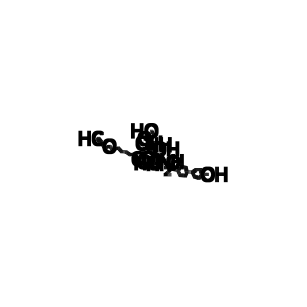 C#CCOCCCCCCO[C@]1(C(=O)O)C[C@H](O)[C@@H](NC(=O)CO)[C@H]([C@H](O)[C@H](O)CNC(=O)Cc2ccc(-c3ccc(O)cc3)cc2)O1